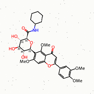 COc1ccc(-c2cc(=O)c3c(OC)c([C@@H]4O[C@H](C(=O)NC5CCCCC5)[C@@H](O)[C@H](O)[C@H]4O)c(OC)cc3o2)cc1OC